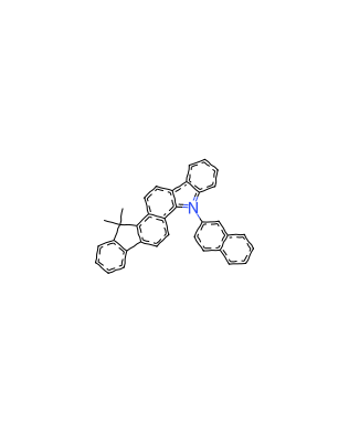 CC1(C)c2ccccc2-c2ccc3c(ccc4c5ccccc5n(-c5ccc6ccccc6c5)c34)c21